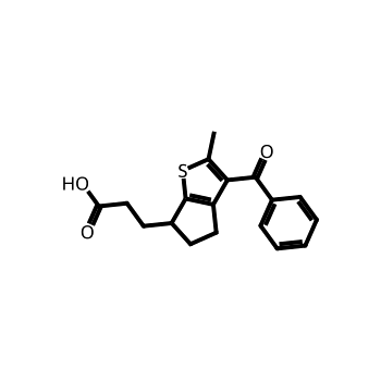 Cc1sc2c(c1C(=O)c1ccccc1)CCC2CCC(=O)O